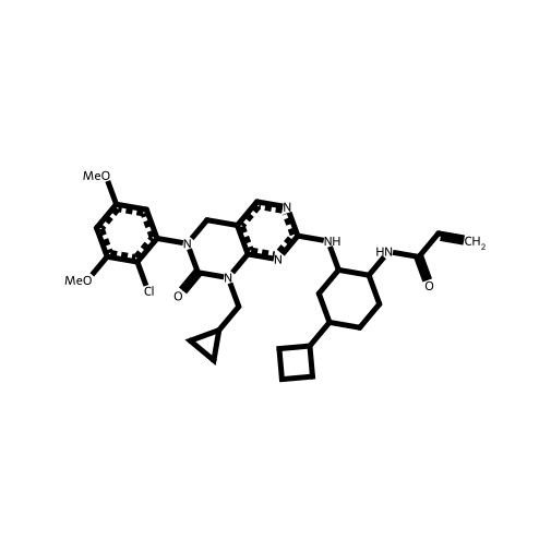 C=CC(=O)NC1CCC(C2CCC2)CC1Nc1ncc2c(n1)N(CC1CC1)C(=O)N(c1cc(OC)cc(OC)c1Cl)C2